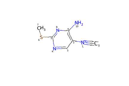 [C-]#[N+]c1cnc(SC)nc1N